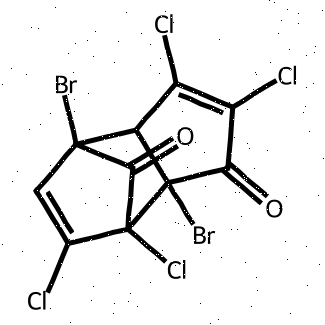 O=C1C2(Br)C=C(Cl)C1(Cl)C1(Br)C(=O)C(Cl)=C(Cl)C21